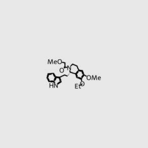 CCOc1cc2c(cc1OC)CCN(C(=O)COC)[C@H]2CCc1c[nH]c2ccccc12